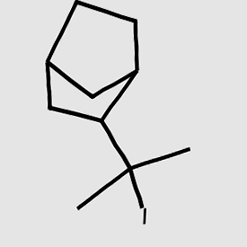 CC(C)(I)C1CC2CCC1C2